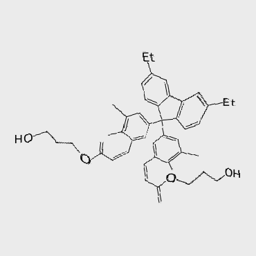 C=C(/C=C\c1cc(C2(c3cc(C)c(C)c(/C=C\C(=C)OCCCO)c3)c3ccc(CC)cc3-c3cc(CC)ccc32)cc(C)c1C)OCCCO